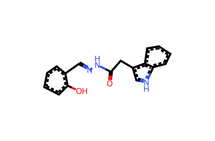 O=C(Cc1c[nH]c2ccccc12)NN=Cc1ccccc1O